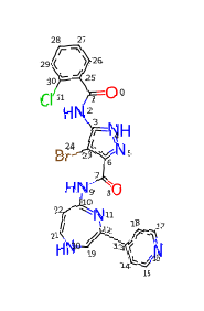 O=C(Nc1[nH]nc(C(=O)NC2=NC(c3ccncc3)=CNC=C2)c1Br)c1ccccc1Cl